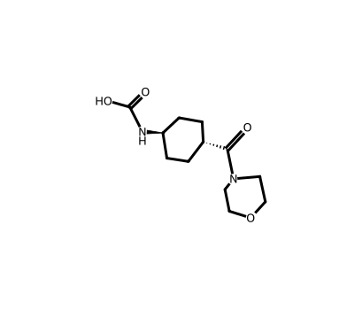 O=C(O)N[C@H]1CC[C@H](C(=O)N2CCOCC2)CC1